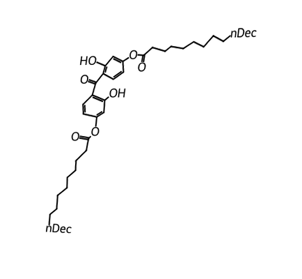 CCCCCCCCCCCCCCCCCCC(=O)Oc1ccc(C(=O)c2ccc(OC(=O)CCCCCCCCCCCCCCCCCC)cc2O)c(O)c1